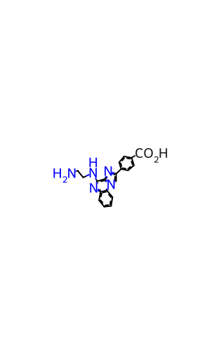 NCCNc1nc2ccccc2n2cc(-c3ccc(C(=O)O)cc3)nc12